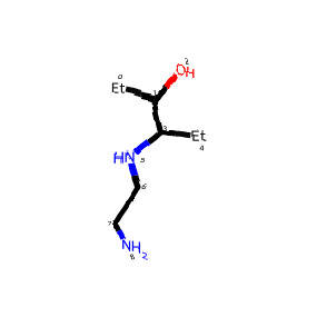 CCC(O)C(CC)NCCN